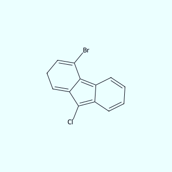 ClC1=c2ccccc2=C2C(Br)=CCC=C12